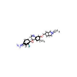 COc1cc2c(cc1OCC1CC3CN(C)CC3C1)N=CCC2Oc1ccc(N)cc1F